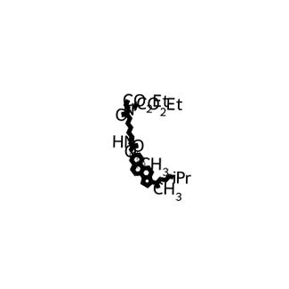 CCOC(=O)CCN(CC(=O)OCC)C(=O)CCCCCNC(=O)O[C@H]1CC[C@@]2(C)C(=CCC3C4CCC(C(C)CCCC(C)C)C4CCC32)C1